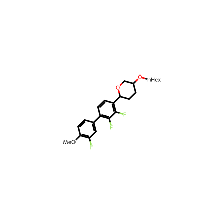 CCCCCCOC1CCC(c2ccc(-c3ccc(OC)c(F)c3)c(F)c2F)OC1